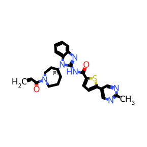 C=CC(=O)N1CCC[C@@H](n2c(NC(=O)c3ccc(-c4cnc(C)nc4)s3)nc3ccccc32)CC1